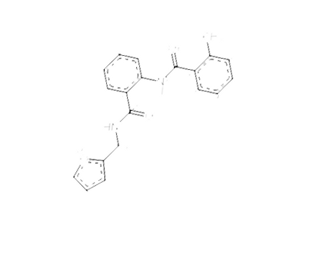 Cc1ccccc1C(=O)Nc1ccccc1C(=O)NCc1ccco1